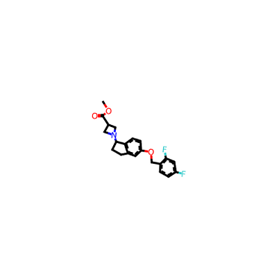 COC(=O)C1CN(C2CCc3cc(OCc4ccc(F)cc4F)ccc32)C1